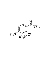 NNc1ccc(N)cc1.O=S(=O)(O)O